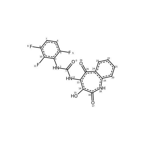 O=C(Nc1c(F)ccc(F)c1F)Nc1c(O)c(=O)[nH]c2ccccc2c1=O